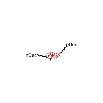 CCCCCCCCCCCCCCCCSC(C)OP(O)OC(C)SCCCCCCCCCCCCCCCC